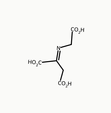 O=C(O)CN=C(CC(=O)O)C(=O)O